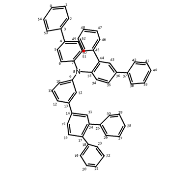 c1ccc(-c2ccc(N(c3cccc(-c4ccc(-c5ccccc5)c(-c5ccccc5)c4)c3)c3ccc(-c4ccccc4)cc3-c3ccccc3)cc2)cc1